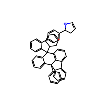 C1=CCC(C2(c3ccccc3-c3ccc(C4CC=CN4)cc3)c3ccccc3C3(c4ccccc4)c4ccccc4-c4cccc2c43)C=C1